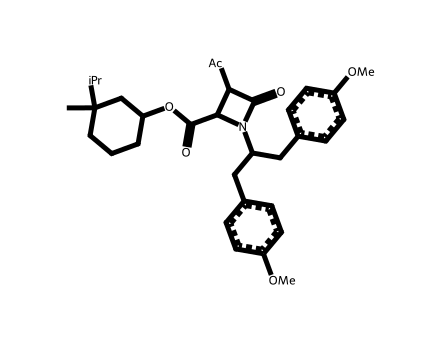 COc1ccc(CC(Cc2ccc(OC)cc2)N2C(=O)C(C(C)=O)C2C(=O)OC2CCCC(C)(C(C)C)C2)cc1